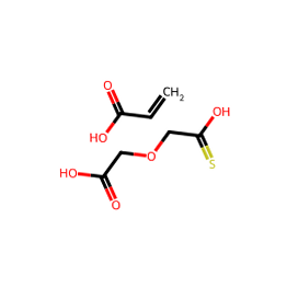 C=CC(=O)O.O=C(O)COCC(O)=S